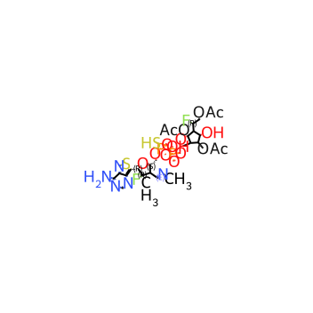 C/N=C/C1[C@@H](COP(=O)(S)OP(=O)(O)OC2OC3(OC(C)=O)C2C(OC(C)=O)C(O)C3[C@@H](F)COC(C)=O)O[C@@H](c2snc3c(N)ncnc23)[C@]1(C)F